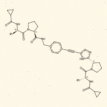 CC(C)[C@@H](NC(=O)C1CC1)C(=O)N1CCC[C@H]1C(=O)NCc1ccc(C#Cc2cnc([C@@H]3CCCN3C(=O)[C@H](NC(=O)C3CC3)C(C)C)[nH]2)cc1